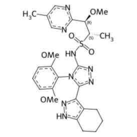 COc1cccc(OC)c1-n1c(NS(=O)(=O)[C@@H](C)[C@H](OC)c2ncc(C)cn2)nnc1-c1n[nH]c2c1CCCC2